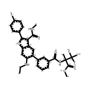 CCNc1cc2oc(-c3ccc(F)cc3)c(C(=O)NC)c2cc1-c1cccc(C(=O)NC(C)(C(=O)OC)C(F)(F)F)c1